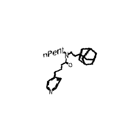 CCCCCN(CCC12CC3CC(CC(C3)C1)C2)C(=O)CCCc1ccncc1